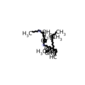 C#Cc1ccc(C(CCCC=CO[Si](C)(C)CCCC)C(CCC/C=C\c2ccc(C#CC(O)C/C=C\CCCCC)o2)O[Si](C)(C)C(C)(C)C)o1